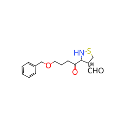 O=C[C@@H]1CSNC1C(=O)CCCOCc1ccccc1